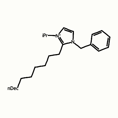 CCCCCCCCCCCCCCCCc1n(Cc2ccccc2)cc[n+]1C(C)C